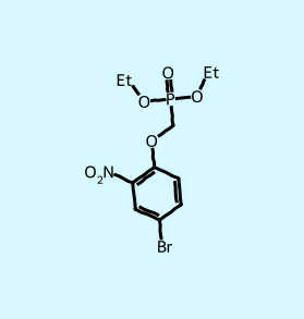 CCOP(=O)(COc1ccc(Br)cc1[N+](=O)[O-])OCC